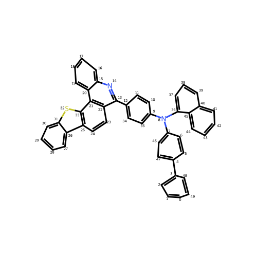 c1ccc(-c2ccc(N(c3ccc(-c4nc5ccccc5c5c4ccc4c6ccccc6sc45)cc3)c3cccc4ccccc34)cc2)cc1